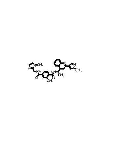 Cc1cc(C(=O)NCc2nccn2C)ccc1C(=O)N[C@H](C)c1cc(-c2cnn(C)c2)nc2ccccc12